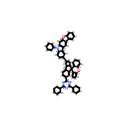 c1ccc(-c2nc(-c3ccccc3)nc(-c3ccc4c(c3)C3(c5ccccc5Oc5ccccc53)c3ccc(-c5ccc6c(c5)c5cc7c(cc5n6-c5ccccc5)oc5ccccc57)cc3-4)n2)cc1